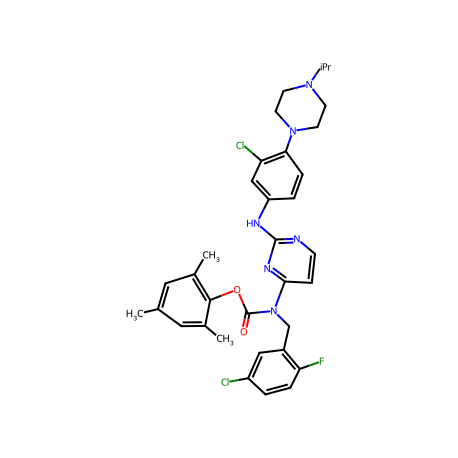 Cc1cc(C)c(OC(=O)N(Cc2cc(Cl)ccc2F)c2ccnc(Nc3ccc(N4CCN(C(C)C)CC4)c(Cl)c3)n2)c(C)c1